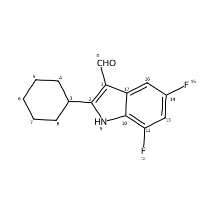 O=Cc1c(C2CCCCC2)[nH]c2c(F)cc(F)cc12